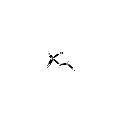 O=S(=O)(O)OSI